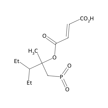 CCC(CC)C(C)(CP(=O)=O)OC(=O)C=CC(=O)O